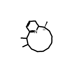 CC1CCCCCCC[C@H](C)C2CC=CC(=N2)C1C